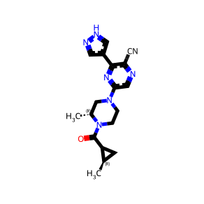 C[C@@H]1CC1C(=O)N1CCN(c2cnc(C#N)c(-c3cn[nH]c3)n2)C[C@H]1C